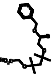 CC(C)(CC(C)(C)OCC(=O)OCc1ccccc1)OCC(=O)O